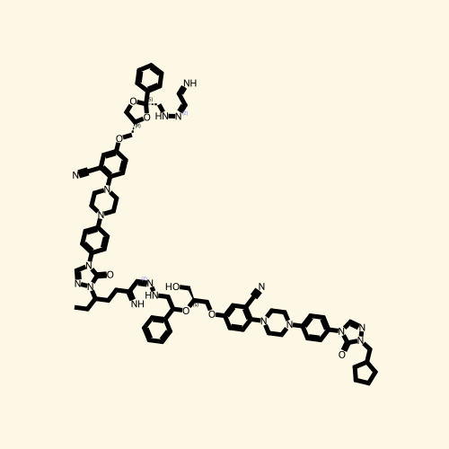 CCC(CCC(=N)/C=N\NCC(O[C@@H](CO)COc1ccc(N2CCN(c3ccc(-n4cnn(CC5CCCC5)c4=O)cc3)CC2)c(C#N)c1)c1ccccc1)n1ncn(-c2ccc(N3CCN(c4ccc(OC[C@@H]5CO[C@@](CN/N=C\C=N)(c6ccccc6)O5)cc4C#N)CC3)cc2)c1=O